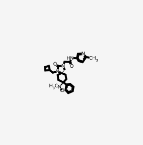 Cc1ccc(NC(=O)CN2C[C@]3(CC[C@](c4ccccc4)(N(C)C)CC3)N(CC3CCC3)C2=O)cn1